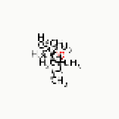 C=CCC(C)(C)O[Si](C)(C)C(C)(C)C